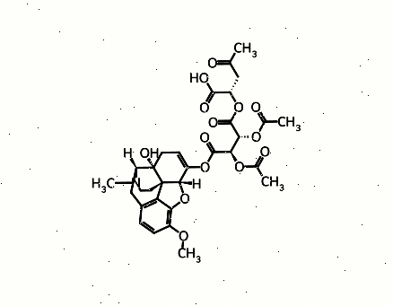 COc1ccc2c3c1O[C@H]1C(OC(=O)[C@H](OC(C)=O)[C@@H](OC(C)=O)C(=O)O[C@@H](CC(C)=O)C(=O)O)=CC[C@@]4(O)[C@@H](C2)N(C)CC[C@]314